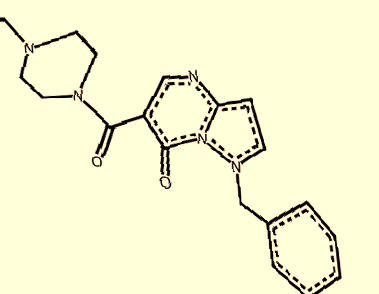 CN1CCN(C(=O)c2cnc3ccn(Cc4ccccc4)n3c2=O)CC1